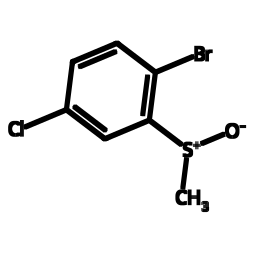 C[S+]([O-])c1cc(Cl)ccc1Br